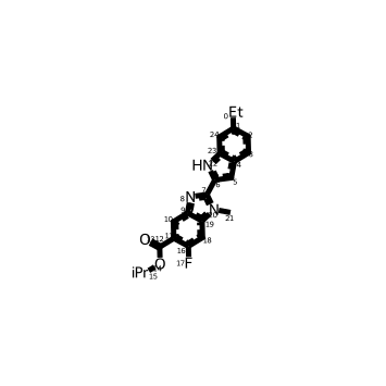 CCc1ccc2cc(-c3nc4cc(C(=O)OC(C)C)c(F)cc4n3C)[nH]c2c1